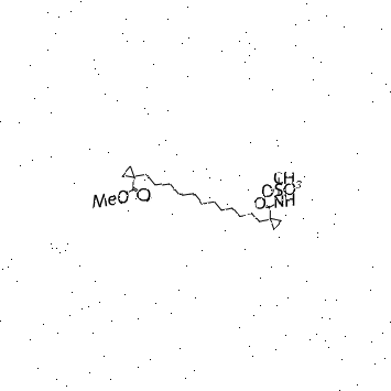 COC(=O)C1(CCCCCCCCCCCCC2(C(=O)NS(C)(=O)=O)CC2)CC1